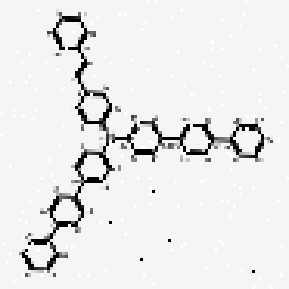 C(=C\c1ccc(N(c2ccc(-c3ccc(-c4ccccc4)cc3)cc2)c2ccc(-c3ccc(-c4ccccc4)cc3)cc2)cc1)/c1ccccc1